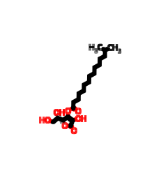 CC(C)CCCCCCCCCCCCC(=O)OC1=C(O)C(=O)O[C@@H]1[C@@H](O)CO